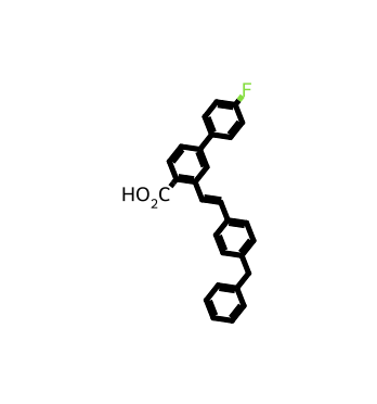 O=C(O)c1ccc(-c2ccc(F)cc2)cc1/C=C/c1ccc(Cc2ccccc2)cc1